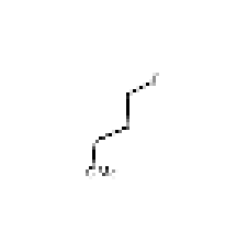 COC[CH]CF